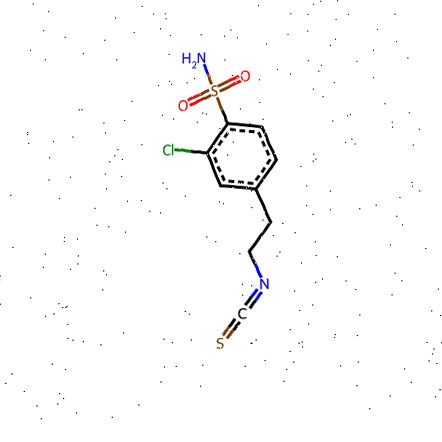 NS(=O)(=O)c1ccc(CCN=C=S)cc1Cl